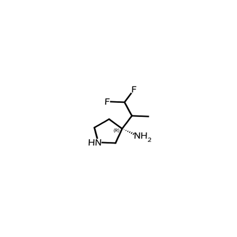 CC(C(F)F)[C@]1(N)CCNC1